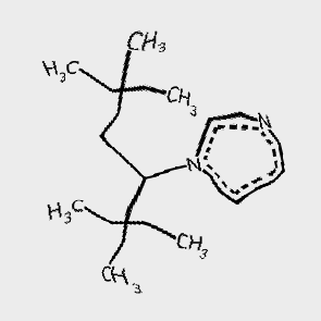 CC(C)(C)CC(n1ccnc1)C(C)(C)C